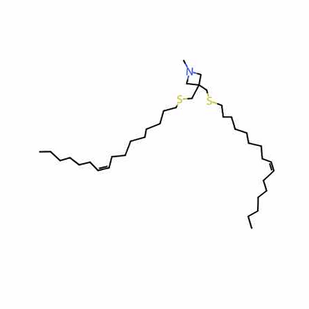 CCCCCC/C=C\CCCCCCCCSCC1(CSCCCCCCCC/C=C\CCCCCC)CN(C)C1